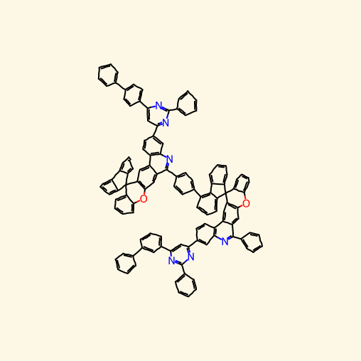 c1ccc(-c2ccc(-c3cc(-c4ccc5c(c4)nc(-c4ccc(-c6cccc7c6-c6ccccc6C76c7ccccc7Oc7cc8c(-c9ccccc9)nc9cc(-c%10cc(-c%11cccc(-c%12ccccc%12)c%11)nc(-c%11ccccc%11)n%10)ccc9c8cc76)cc4)c4cc6c(cc45)C4(c5ccccc5O6)c5ccccc5-c5ccccc54)nc(-c4ccccc4)n3)cc2)cc1